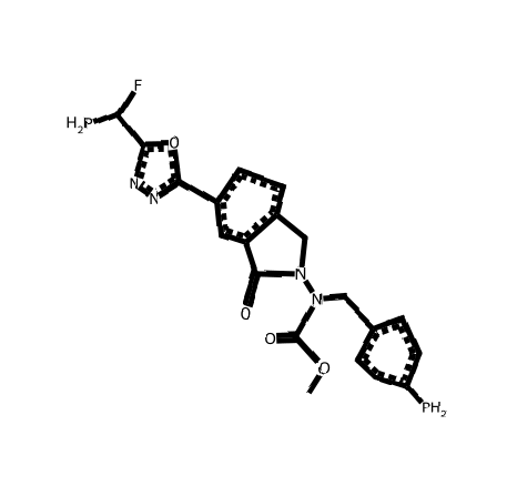 COC(=O)N(Cc1ccc(P)cc1)N1Cc2ccc(-c3nnc(C(F)P)o3)cc2C1=O